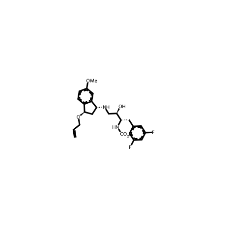 C=CCO[C@@H]1C[C@@H](NC[C@@H](O)[C@H](Cc2cc(F)cc(F)c2)NC(=O)O)c2cc(OC)ccc21